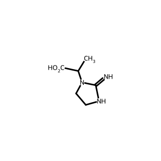 CC(C(=O)O)N1CCNC1=N